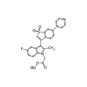 Cc1c(C2=CS(=O)(=O)c3cc(-c4ccncc4)ccc32)c2cc(F)ccc2n1CC(=O)OC(C)(C)C